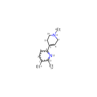 CCc1ccc(C2=CCN(CC)CC2)nc1CC